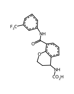 O=C(O)NC1CCOc2c(C(=O)Nc3cccc(C(F)(F)F)c3)cccc21